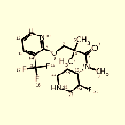 CN(C(=O)C(C)(C)COc1ncccc1C(F)(F)F)[C@H]1CCNC[C@@H]1F